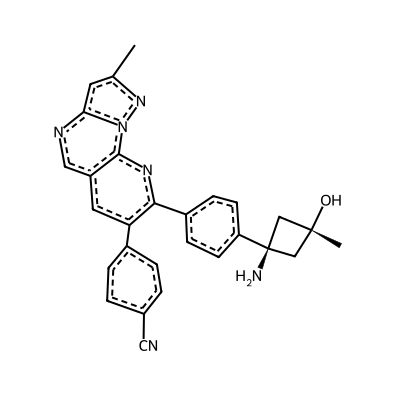 Cc1cc2ncc3cc(-c4ccc(C#N)cc4)c(-c4ccc([C@]5(N)C[C@](C)(O)C5)cc4)nc3n2n1